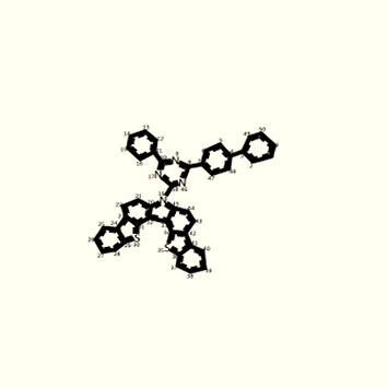 c1ccc(-c2ccc(-c3nc(-c4ccccc4)nc(-n4c5ccc6c7ccccc7sc6c5c5c6sc7ccccc7c6ccc54)n3)cc2)cc1